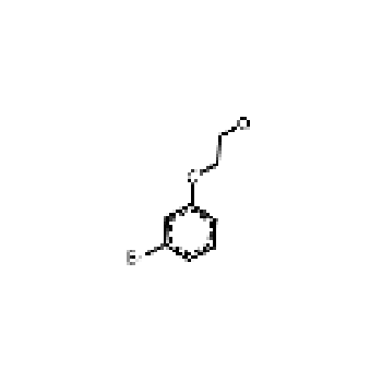 [O]CCOc1cccc(Br)c1